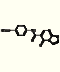 C#Cc1ccc(NC(=O)c2cnc3occn3c2=O)cc1